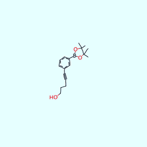 CC1(C)OB(c2cccc(C#CCCCO)c2)OC1(C)C